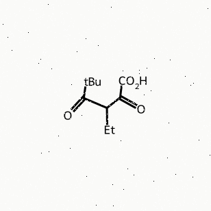 CCC(C(=O)C(=O)O)C(=O)C(C)(C)C